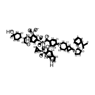 CC(C)c1ccccc1[C@H]1CCCN1C1CC2(CCN(c3ccc(C(=O)NS(=O)(=O)c4cc5c(c([N+](=O)[O-])c4)N[C@@H](C4CCC(C)(O)CC4)CO5)c(Oc4cc5cc[nH]c5nc4S(=O)(=O)C4CC4)c3)CC2)C1